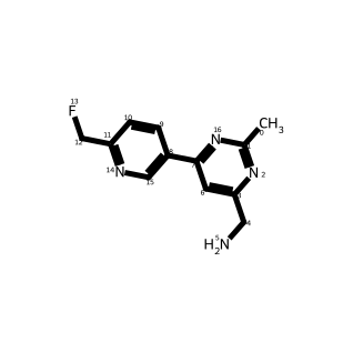 Cc1nc(CN)cc(-c2ccc(CF)nc2)n1